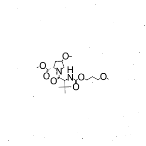 COCCCOC(=O)N[C@H](C(=O)N1C[C@H](OC)C[C@H]1C(=O)OC)C(C)(C)C